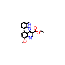 CCOC(=O)c1cnc2c(OC)ccc(C)c2c1Nc1ccccc1C